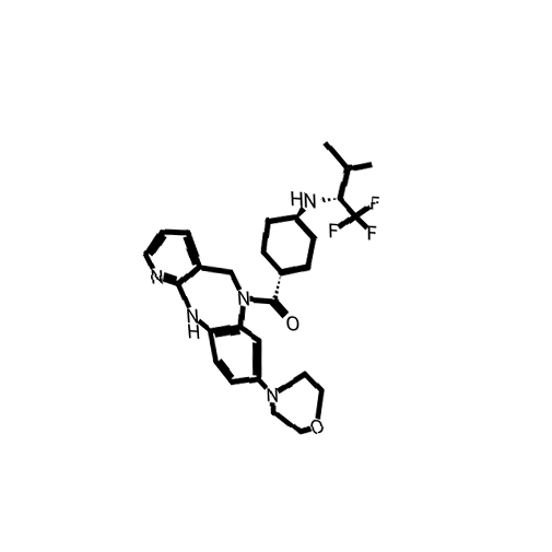 CC(C)[C@@H](N[C@H]1CC[C@H](C(=O)N2Cc3cccnc3Nc3ccc(N4CCOCC4)cc32)CC1)C(F)(F)F